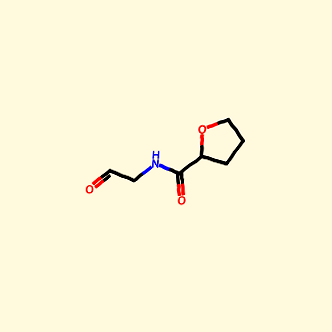 O=CCNC(=O)C1CCCO1